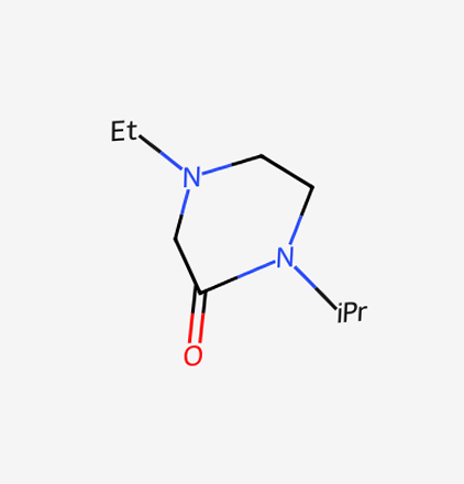 CCN1CCN(C(C)C)C(=O)C1